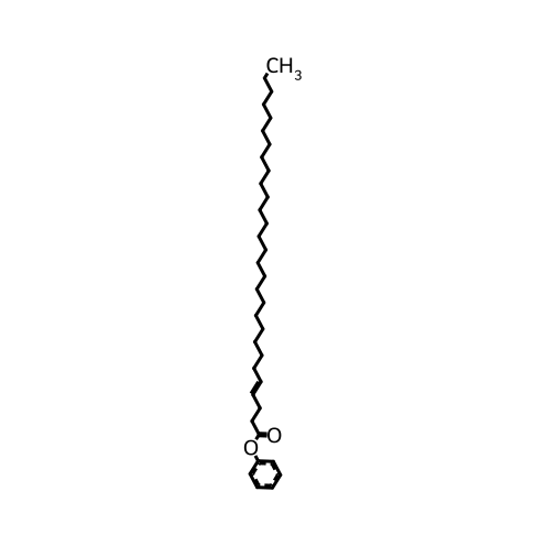 CCCCCCCCCCCCCCCCCCCCCCCCC=CCCC(=O)Oc1ccccc1